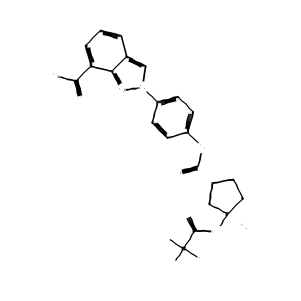 NC(=O)c1cccc2cn(-c3ccc(NC(=O)[C@@H]4CC[C@@](N)(OC(=O)C(F)(F)F)C4)cc3)nc12